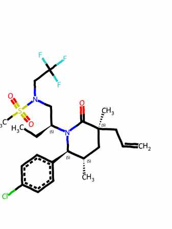 C=CC[C@@]1(C)C[C@H](C)[C@@H](c2ccc(Cl)cc2)N([C@@H](CC)CN(CC(F)(F)F)S(C)(=O)=O)C1=O